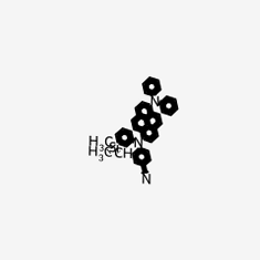 C[Si](C)(C)c1cccc(N(c2ccc(C#N)cc2)c2ccc3ccc4c(N(c5ccccc5)c5ccccc5)ccc5ccc2c3c54)c1